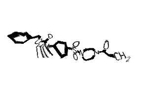 C=CC(=O)N1CCN(S(=O)(=O)c2ccc(NC(=O)OCc3ccccc3)cc2)CC1